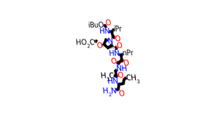 CCCC(NC(=O)[C@@H]1C[C@@H](OCC(=O)O)CN1C(=O)C(NC(=O)OCC(C)C)C(C)C)C(=O)C(=O)NCC1(C)NC(C(N)=O)CC(C)O1